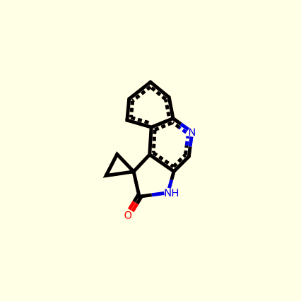 O=C1Nc2cnc3ccccc3c2C12CC2